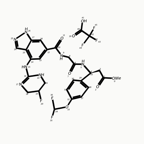 COC(=O)C[C@H](NC(=O)CNC(=O)c1cc(NC2=NCC(F)CN2)c2cn[nH]c2c1)c1ccc(OC(F)F)cc1.O=C(O)C(F)(F)F